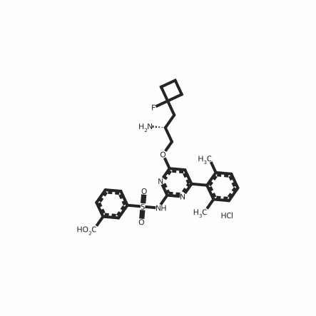 Cc1cccc(C)c1-c1cc(OC[C@H](N)CC2(F)CCC2)nc(NS(=O)(=O)c2cccc(C(=O)O)c2)n1.Cl